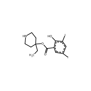 CCC1(OC(=O)c2cc(I)cc(I)c2O)CCNCC1